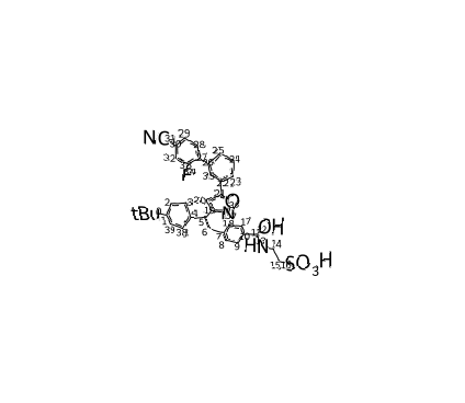 CC(C)(C)c1ccc(C(Cc2ccc(C(O)NCCS(=O)(=O)O)cc2)c2cc(-c3cccc(-c4ccc(C#N)cc4F)c3)on2)cc1